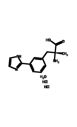 C[C@@](N)(Cc1cccc(-c2ncc[nH]2)c1)C(=O)O.Cl.Cl.O